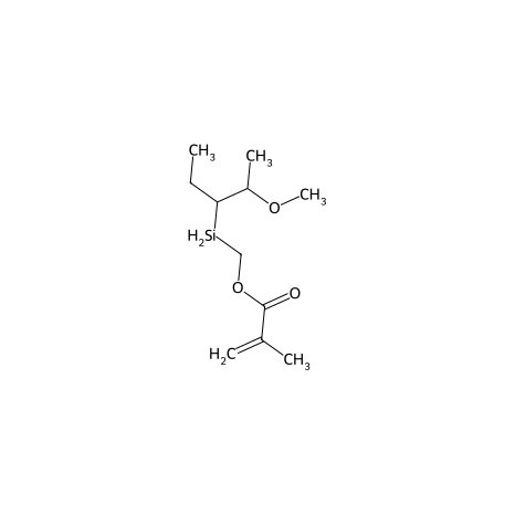 C=C(C)C(=O)OC[SiH2]C(CC)C(C)OC